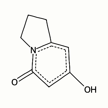 O=c1cc(O)cc2n1CCC2